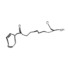 O=C(CCCCCC(O)Cl)c1ccccc1